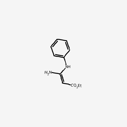 CCOC(=O)/C=C(/N)Nc1ccccc1